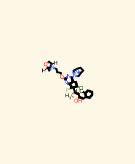 C/C(=C\C(O)=C/c1ccccc1C)c1c(Cl)cc2c(N3CC4CCC(C3)N4)nc(OCCCN3C[C@H]4C[C@@H]3CO4)nc2c1F